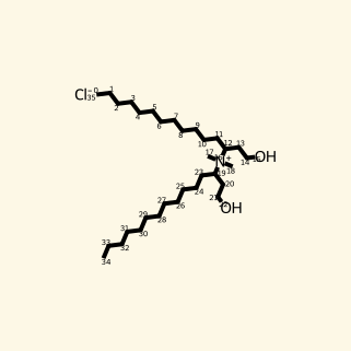 CCCCCCCCCCCCC(CCO)[N+](C)(C)C(CCO)CCCCCCCCCCCC.[Cl-]